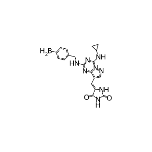 Bc1ccc(CNc2nc(NC3CC3)n3ncc(/C=C4\NC(=O)NC4=O)c3n2)cc1